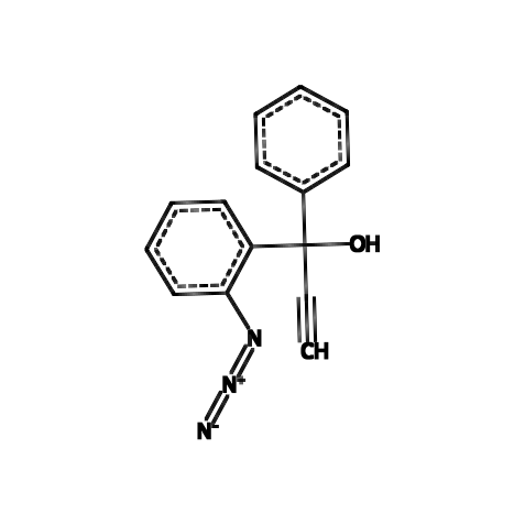 C#CC(O)(c1ccccc1)c1ccccc1N=[N+]=[N-]